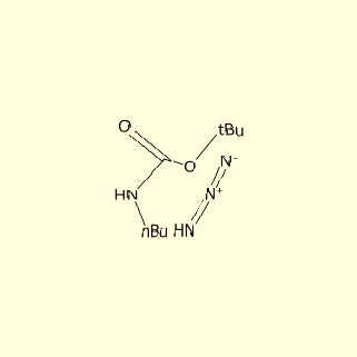 CCCCNC(=O)OC(C)(C)C.[N-]=[N+]=N